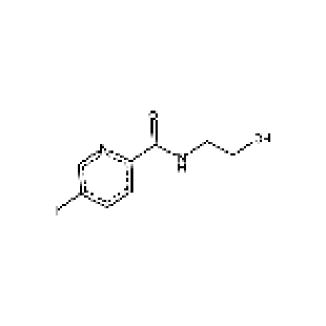 O=C(NCCO)c1ccc(I)cn1